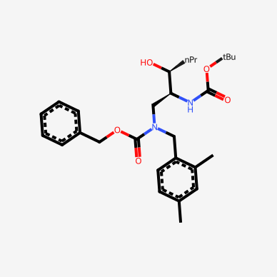 CCC[C@H](O)[C@H](CN(Cc1ccc(C)cc1C)C(=O)OCc1ccccc1)NC(=O)OC(C)(C)C